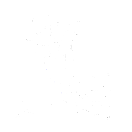 C=C(/C=C/C=C/C=C1/N(CCCCCC(=O)O)c2ccc3c(S(=O)(=O)O)cc(S(=O)(=O)O)cc3c2C1(C)CCOC)C(C)(CCOC)c1c(C)ccc2c(S(=O)(=O)O)cc(S(=O)(=O)O)cc12